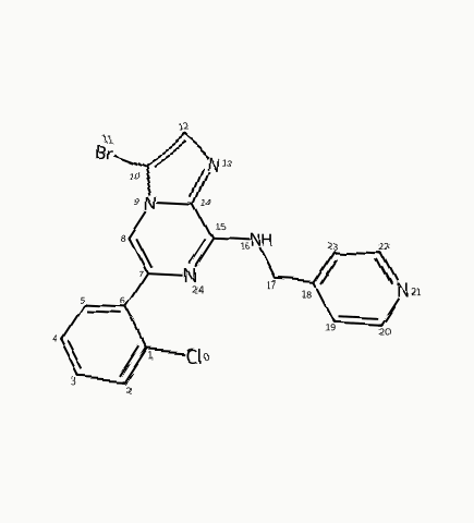 Clc1ccccc1-c1cn2c(Br)cnc2c(NCc2ccncc2)n1